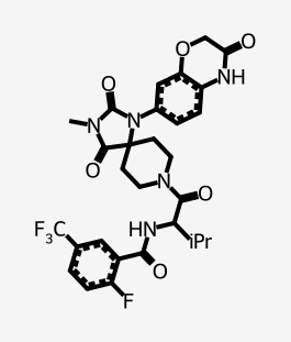 CC(C)C(NC(=O)c1cc(C(F)(F)F)ccc1F)C(=O)N1CCC2(CC1)C(=O)N(C)C(=O)N2c1ccc2c(c1)OCC(=O)N2